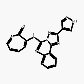 O=c1nccccc1Nc1nc2ccccc2c2nc(-c3cn[nH]c3)nn12